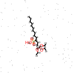 CCCCCCCCCCC(CC[Si](OCC)(OCC)OCC)S(=O)(=O)O